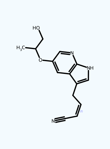 CC(CO)Oc1cnc2[nH]cc(C/C=C\C#N)c2c1